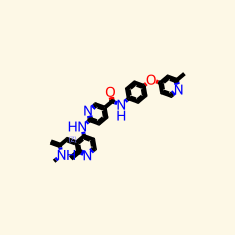 C=C(/C=c1/c(Nc2ccc(C(=O)Nc3ccc(Oc4ccnc(C)c4)cc3)cn2)ccnc1=C)NC